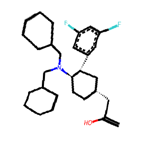 C=C(O)C[C@@H]1CC[C@@H](N(CC2CCCCC2)CC2CCCCC2)[C@H](c2cc(F)cc(F)c2)C1